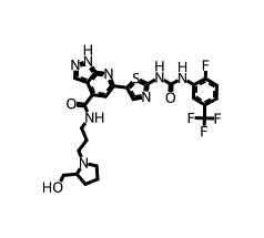 O=C(Nc1ncc(-c2cc(C(=O)NCCCN3CCCC3CO)c3cn[nH]c3n2)s1)Nc1cc(C(F)(F)F)ccc1F